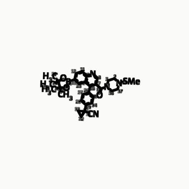 CSN1CCN(C(=O)c2cnc3ccc(B4OC(C)(C)C(C)(C)O4)cc3c2-c2ccc(C3(C#N)CC3)cc2)CC1